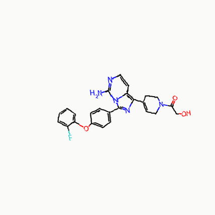 Nc1nccc2c(C3=CCN(C(=O)CO)CC3)nc(-c3ccc(Oc4ccccc4F)cc3)n12